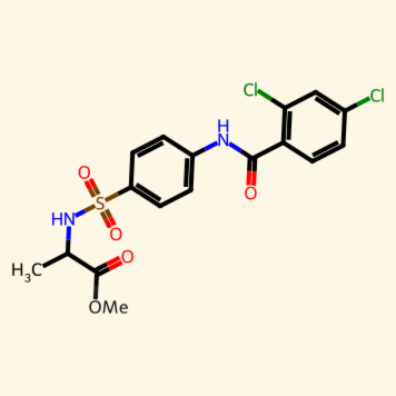 COC(=O)C(C)NS(=O)(=O)c1ccc(NC(=O)c2ccc(Cl)cc2Cl)cc1